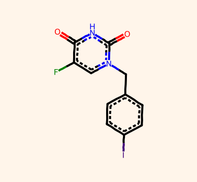 O=c1[nH]c(=O)n(Cc2ccc(I)cc2)cc1F